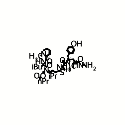 CCCC(=O)OCN(C(=O)[C@@H](NC(=O)[C@H]1C=CCCN1C)C(C)CC)[C@H](CCc1nc(C(=O)N[C@@H](Cc2ccc(O)cc2)C[C@H](C)C(=O)NN)cs1)C(C)C